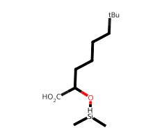 C[SiH](C)OC(CCCCC(C)(C)C)C(=O)O